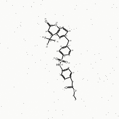 CCOC(=O)Cc1ccc(NS(=O)(=O)c2ccc(Cc3ccc4oc(=O)cc(C(F)(F)F)c4c3)cc2)cc1